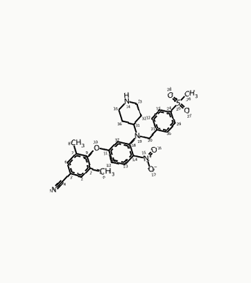 Cc1cc(C#N)cc(C)c1Oc1ccc([N+](=O)[O-])c(N(Cc2ccc(S(C)(=O)=O)cc2)C2CCNCC2)c1